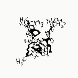 CCCCCCCC(NC(=O)NC1(CS(=O)(=O)C(C)(C)CC)CCCCC1)C(=O)N1C[C@H]2[C@@H]([C@H]1C(=O)NC(CC1CC1)C(=O)C(=O)NCCC(=O)OC(C)(C)C)C2(C)C